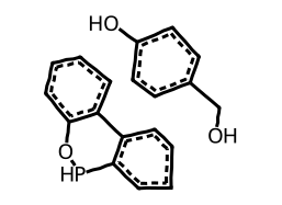 OCc1ccc(O)cc1.c1ccc2c(c1)OPc1ccccc1-2